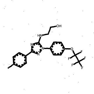 Cc1ccc(-c2nc(NCCO)n(-c3ccc(OC(F)(F)C(F)(F)F)cc3)n2)cc1